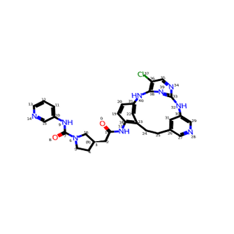 O=C(C[C@H]1CCN(C(=O)Nc2cccnc2)C1)Nc1ccc2cc1CCc1cncc(c1)Nc1ncc(Cl)c(n1)N2